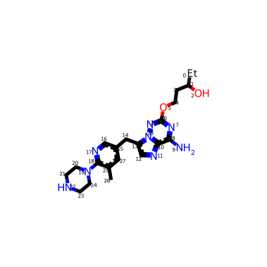 CCC(O)CCOc1nc(N)c2ncc(Cc3cnc(N4CCNCC4)c(C)c3)n2n1